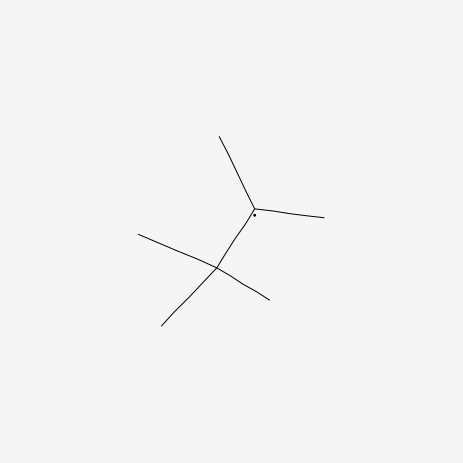 C[C](C)C(C)(C)C